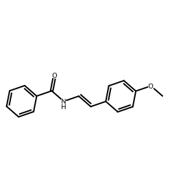 COc1ccc(C=CNC(=O)c2ccccc2)cc1